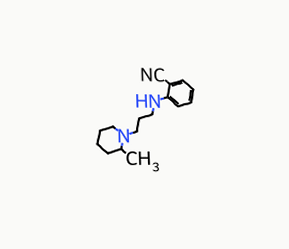 CC1CCCCN1CCCNc1ccccc1C#N